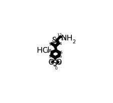 CS(=O)(=O)c1ccc(-c2csc(CN)c2)cc1.Cl